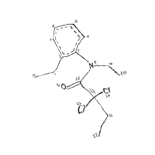 CCc1ccccc1N(CC)C(=O)C(Cl)(Cl)CC